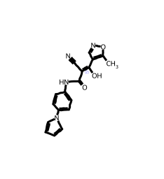 Cc1oncc1/C(O)=C(\C#N)C(=O)Nc1ccc(-n2cccc2)cc1